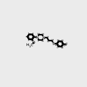 COc1ccccc1N1CCN(CCCSc2ccc(F)cc2)CC1